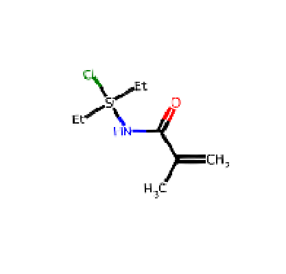 C=C(C)C(=O)N[Si](Cl)(CC)CC